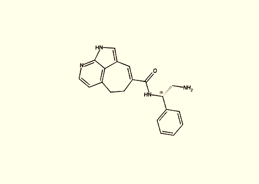 NC[C@@H](NC(=O)C1=Cc2c[nH]c3nccc(c23)CC1)c1ccccc1